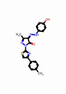 CC1=NN(c2nc(-c3ccc(C)cc3)cs2)C(=O)C1=NNc1ccc(O)cc1